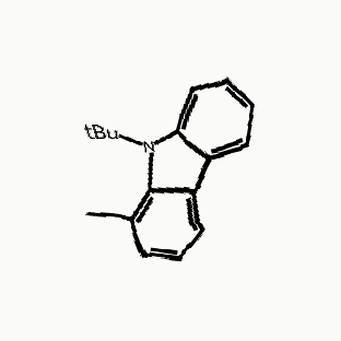 Cc1cccc2c3ccccc3n(C(C)(C)C)c12